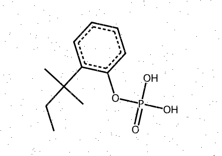 CCC(C)(C)c1ccccc1OP(=O)(O)O